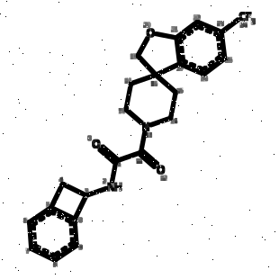 O=C(NC1Cc2ccccc21)C(=O)N1CCC2(CC1)COc1cc(C(F)(F)F)ccc12